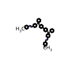 Cc1ccc(/C=C/c2ccc(N(c3ccccc3)c3ccc(-c4ccc(N(c5ccccc5)c5ccc(/C=C/c6ccc(C)cc6)cc5)cc4)cc3)cc2)cc1